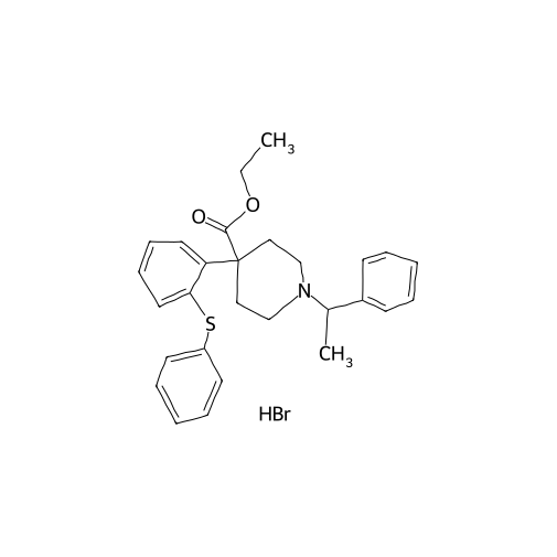 Br.CCOC(=O)C1(c2ccccc2Sc2ccccc2)CCN(C(C)c2ccccc2)CC1